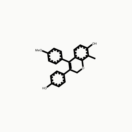 COc1ccc(C2=C(c3ccc(O)cc3)COc3c2ccc(O)c3C)cc1